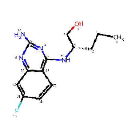 CCC[C@@H](CO)Nc1nc(N)nc2cc(F)ccc12